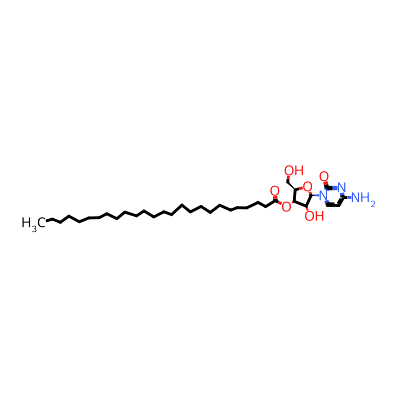 CCCCCCCCCCCCCCCCCCCCCCCCCC(=O)O[C@H]1[C@H](O)[C@H](n2ccc(N)nc2=O)O[C@@H]1CO